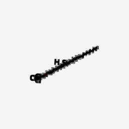 CCCCCCCCCCCCCCCCCC[SiH2]CCCCCCCCCCCCCCCCCC(Cl)(Cl)Cl